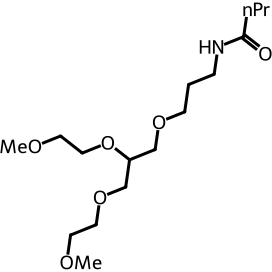 CCCC(=O)NCCCOCC(COCCOC)OCCOC